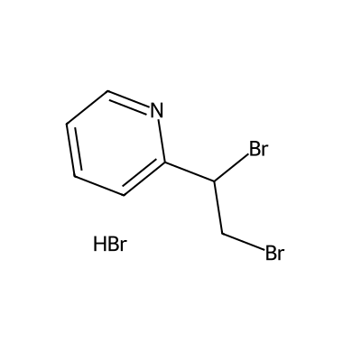 Br.BrCC(Br)c1ccccn1